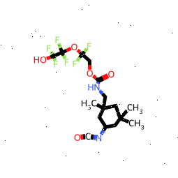 CC1(C)CC(N=C=O)CC(C)(CNC(=O)OCC(F)(F)OC(F)(F)C(O)(F)F)C1